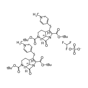 C[n+]1ccc(SC2=C(C(=O)OC(C)(C)C)N3C(=O)[C@@H]4[C@H]3C2CCN4C(=O)OC(C)(C)C)cc1.C[n+]1ccc(SC2=C(C(=O)OC(C)(C)C)N3C(=O)[C@@H]4[C@H]3C2CCN4C(=O)OC(C)(C)C)cc1.FC(F)F.O=S(=O)([O-])[O-]